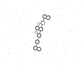 C1=C(c2cccc3ccccc23)CCC2=C1Oc1ccc3c4c(ccc2c14)-c1ccc(-c2ccc(-c4cccc5ccccc45)cc2)cc1O3